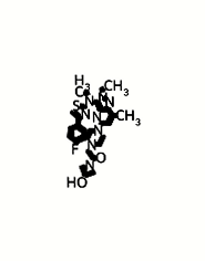 CCN(c1nc(-c2ccc(F)cc2)cs1)c1c2nc(N3CCN(CC(=O)N4CC(O)C4)CC3)cc(C)c2nn1CC